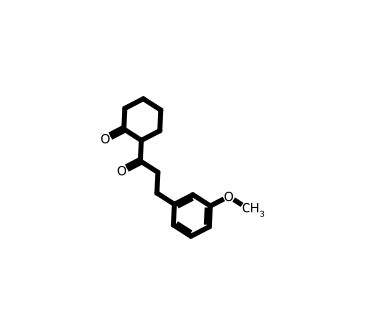 COc1cccc(CCC(=O)C2CCCCC2=O)c1